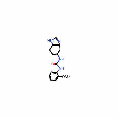 COc1ccccc1NC(=O)NC1CCc2[nH]cnc2C1